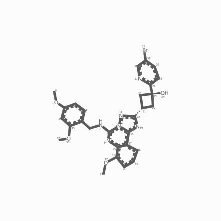 COc1ccc(CNc2nc3c(OC)cccc3c3nc([C@H]4C[C@@](O)(c5ccc(Br)cn5)C4)nn23)c(OC)c1